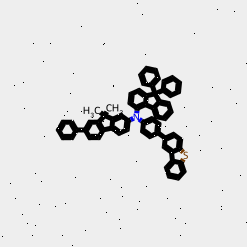 CC1(C)c2cc(-c3ccccc3)ccc2-c2ccc(N(c3ccc(-c4ccc5sc6ccccc6c5c4)cc3)c3cccc4c3-c3ccccc3C4(c3ccccc3)c3ccccc3)cc21